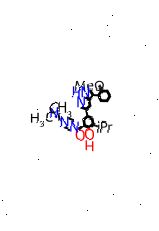 COc1ccccc1-c1c[nH]c2ncc(-c3cc(C(=O)N4CCN(CCN(C)C)CC4)c(O)c(C(C)C)c3)cc12